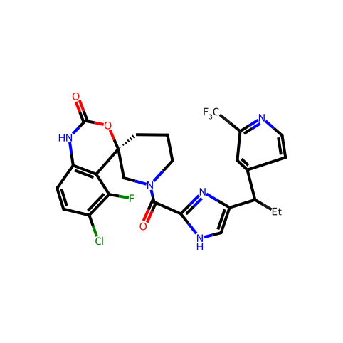 CCC(c1ccnc(C(F)(F)F)c1)c1c[nH]c(C(=O)N2CCC[C@@]3(C2)OC(=O)Nc2ccc(Cl)c(F)c23)n1